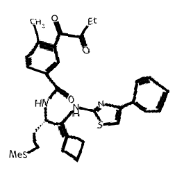 CCC(=O)C(=O)c1cc(C(=O)N[C@@H](CCSC)C(Nc2nc(-c3ccccc3)cs2)=C2CCC2)ccc1C